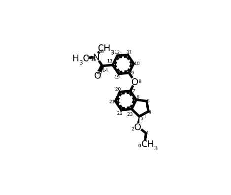 CCO[C@@H]1CCc2c(Oc3cccc(C(=O)N(C)C)c3)cccc21